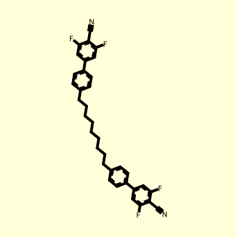 N#Cc1c(F)cc(-c2ccc(CCCCCCCCCc3ccc(-c4cc(F)c(C#N)c(F)c4)cc3)cc2)cc1F